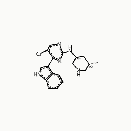 C[C@@H]1CNC[C@@H](Nc2ncc(Cl)c(-c3c[nH]c4ccccc34)n2)C1